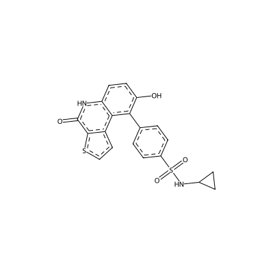 O=c1[nH]c2ccc(O)c(-c3ccc(S(=O)(=O)NC4CC4)cc3)c2c2ccsc12